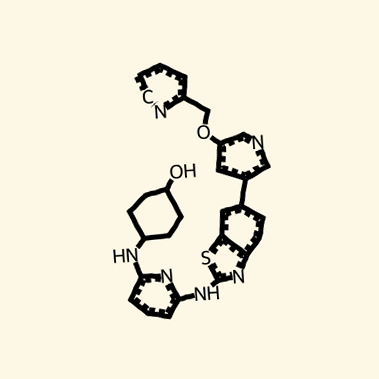 OC1CCC(Nc2cccc(Nc3nc4ccc(-c5cncc(OCc6ccccn6)c5)cc4s3)n2)CC1